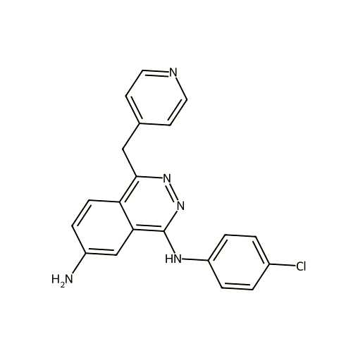 Nc1ccc2c(Cc3ccncc3)nnc(Nc3ccc(Cl)cc3)c2c1